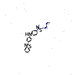 C/C=C\C=C/CS/C(=N\C)C1=CC=C(Nc2ccc(-c3nc4ccccc4s3)cc2)C=CC1